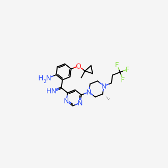 C[C@@H]1CN(c2cc(C(=N)c3cc(OC4(C)CC4)ccc3N)ncn2)CCN1CCC(F)(F)F